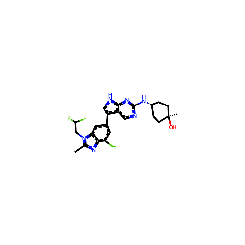 Cc1nc2c(F)cc(-c3c[nH]c4nc(N[C@H]5CC[C@](C)(O)CC5)ncc34)cc2n1CC(F)F